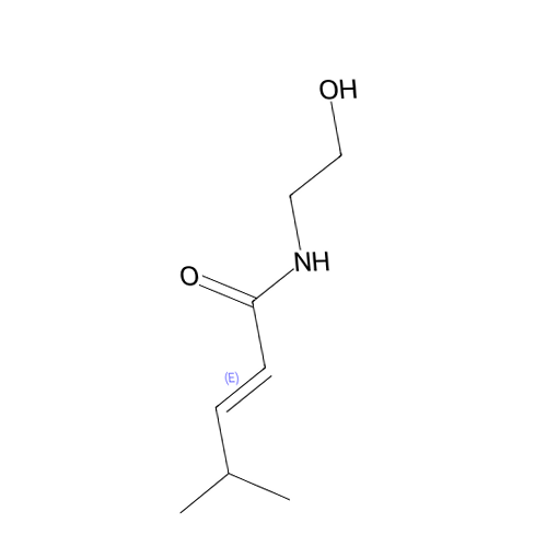 CC(C)/C=C/C(=O)NCCO